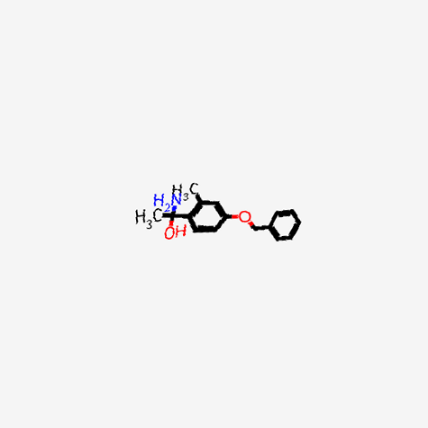 Cc1cc(OCc2ccccc2)ccc1C(C)(N)O